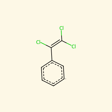 ClC(Cl)=C(Cl)c1c[c]ccc1